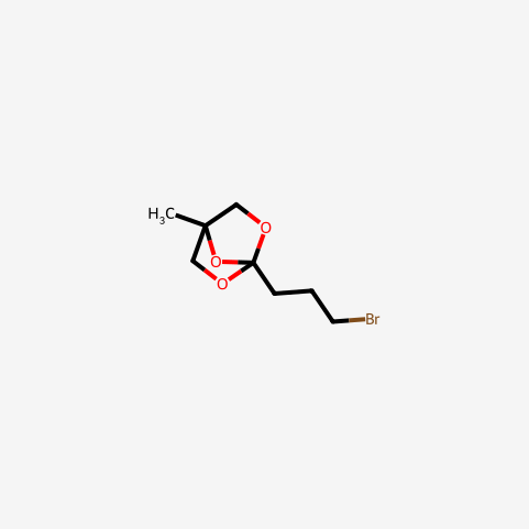 CC12COC(CCCBr)(OC1)O2